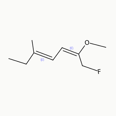 CC/C(C)=C/C=C(\CF)OC